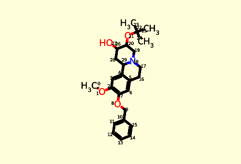 COc1cc2c(cc1OCc1ccccc1)CCN1CC(OC(C)(C)C)C(O)CC21